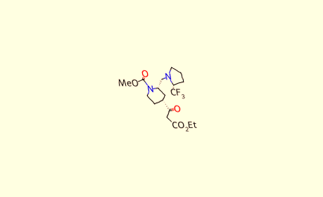 CCOC(=O)CC(=O)[C@@H]1CCN(C(=O)OC)[C@H](CN2CCC[C@@H]2C(F)(F)F)C1